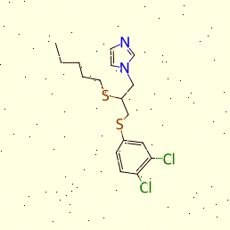 CCCCCSC(CSc1ccc(Cl)c(Cl)c1)Cn1ccnc1